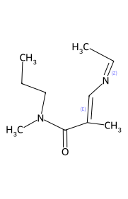 C/C=N\C=C(/C)C(=O)N(C)CCC